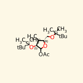 CC(=O)OC1O[C@@H](CO[Si](C)(C)C(C)(C)C)[C@H](C)[C@@H]1O[Si](C)(C)C(C)(C)C